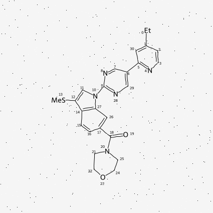 CCc1ccnc(-c2cnc(-n3cc(SC)c4ccc(C(=O)N5CCOCC5)cc43)nc2)c1